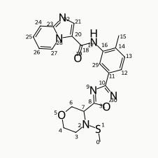 CSN1CCOCC1c1nc(-c2ccc(C)c(NC(=O)c3cnc4ccccn34)c2)no1